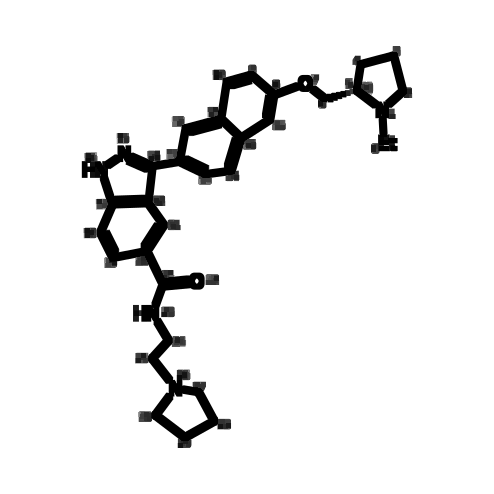 CCN1CCC[C@H]1COc1ccc2cc(-c3n[nH]c4ccc(C(=O)NCCN5CCCC5)cc34)ccc2c1